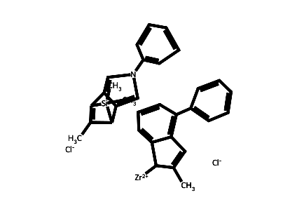 CC1=C2c3cn(-c4ccccc4)cc3C1[Si]2(C)C.CC1=Cc2c(-c3ccccc3)cccc2[CH]1[Zr+2].[Cl-].[Cl-]